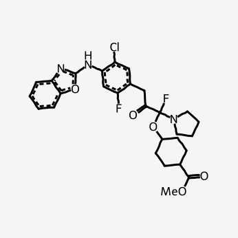 COC(=O)C1CCC(OC(F)(C(=O)Cc2cc(Cl)c(Nc3nc4ccccc4o3)cc2F)N2CCCC2)CC1